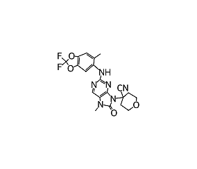 Cc1cc2c(cc1Nc1ncc3c(n1)n(C1(C#N)CCOCC1)c(=O)n3C)OC(F)(F)O2